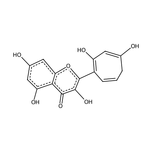 O=c1c(O)c(C2=C(O)C=C(O)CC=C2)oc2cc(O)cc(O)c12